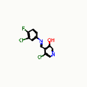 Oc1cncc(Cl)c1C=Nc1ccc(F)c(Cl)c1